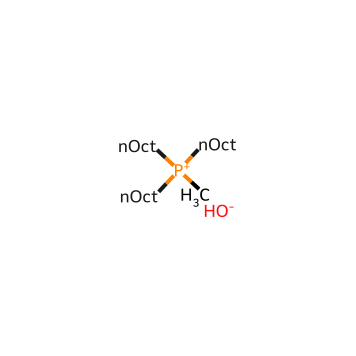 CCCCCCCC[P+](C)(CCCCCCCC)CCCCCCCC.[OH-]